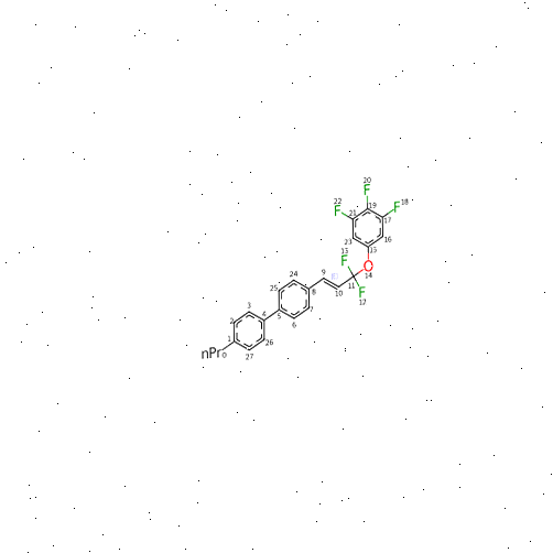 CCCc1ccc(-c2ccc(/C=C/C(F)(F)Oc3cc(F)c(F)c(F)c3)cc2)cc1